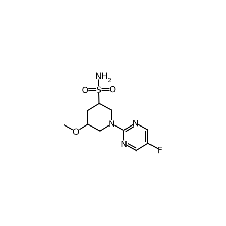 COC1CC(S(N)(=O)=O)CN(c2ncc(F)cn2)C1